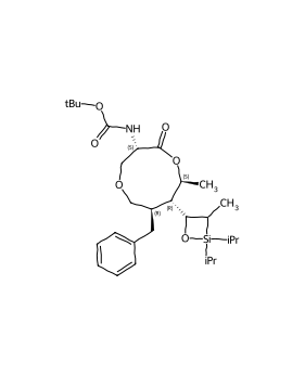 CC(C)[Si]1(C(C)C)OC([C@@H]2[C@@H](Cc3ccccc3)COC[C@H](NC(=O)OC(C)(C)C)C(=O)O[C@H]2C)C1C